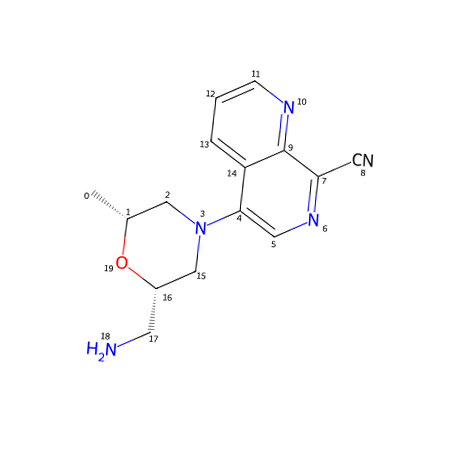 C[C@@H]1CN(c2cnc(C#N)c3ncccc23)C[C@H](CN)O1